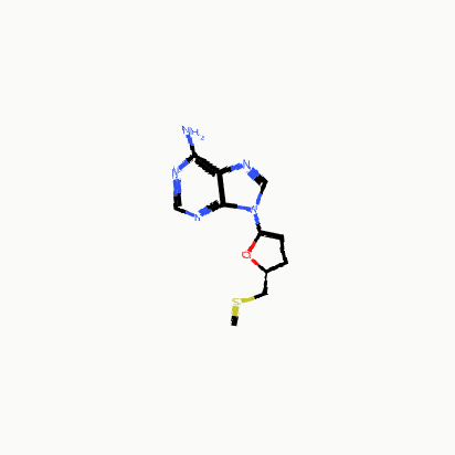 CSC[C@@H]1CCC(n2cnc3c(N)ncnc32)O1